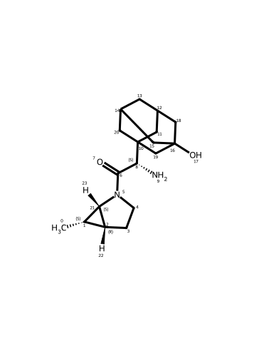 C[C@H]1[C@H]2CCN(C(=O)[C@@H](N)C34CC5CC(CC(O)(C5)C3)C4)[C@@H]12